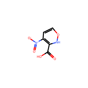 O=C(O)C1=C([N+](=O)[O-])C=CON1